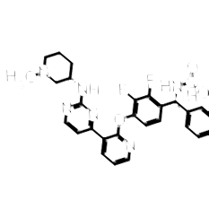 CN1CCC[C@H](Nc2nccc(-c3cccnc3Oc3ccc([C@@H](N[SH](=O)=O)c4ccccc4)c(F)c3F)n2)C1